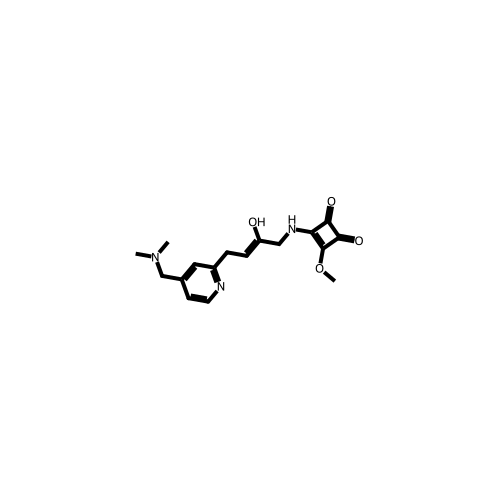 COc1c(NC/C(O)=C/Cc2cc(CN(C)C)ccn2)c(=O)c1=O